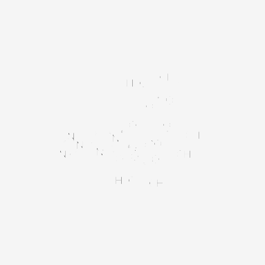 CC(C)C(=O)OC[C@H]1O[C@@H](n2ccc(-n3cncn3)nc2=O)[C@H](OC(=O)C(C)C)[C@@H]1OC(=O)C(C)C